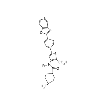 CC(C)N(c1cc(-c2ccc(-c3cc4cnccc4o3)cc2)sc1C(=O)O)C(=O)[C@H]1CC[C@H](C)CC1